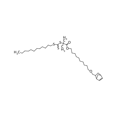 CCCCCCCCCCCCSC(=S)SC(C)(C)C(=O)OCCCCCCCCCCOCC1CC2C=CC1C2